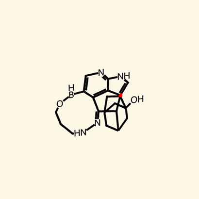 OC12CC3CC(C1)C(/C1=N/NCCCOBc4cnc5[nH]ccc5c41)C2C3